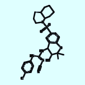 CC1(C)Oc2ccc(S(=O)(=O)N3CCCC4CCCCC43)cc2C(NC(=NC#N)Nc2ccc(Cl)cc2)C1O